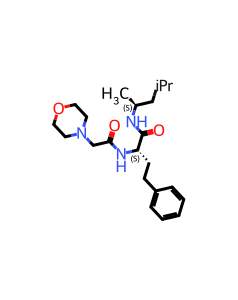 CC(C)C[C@H](C)NC(=O)[C@H](CCc1ccccc1)NC(=O)CN1CCOCC1